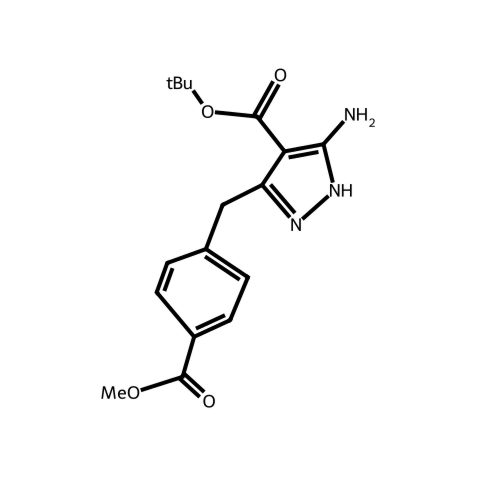 COC(=O)c1ccc(Cc2n[nH]c(N)c2C(=O)OC(C)(C)C)cc1